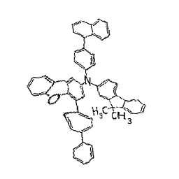 CC1(C)c2ccccc2-c2ccc(N(c3ccc(-c4cccc5ccccc45)cc3)c3cc(-c4ccc(-c5ccccc5)cc4)c4oc5ccccc5c4c3)cc21